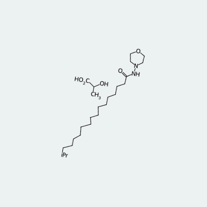 CC(C)CCCCCCCCCCCCCCC(=O)NN1CCOCC1.CC(O)C(=O)O